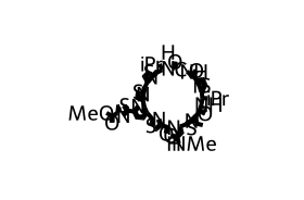 CNC(=O)CC1NC(=O)c2csc(n2)-c2ccc(-c3nc(C(=O)OC)cs3)nc2-c2csc(n2)-c2csc(n2)C(C(C)C)NC(=O)CNC(=O)c2csc(n2)C(C(C)C)NC(=O)c2nc1sc2C